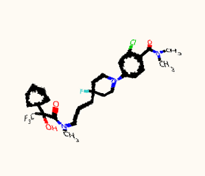 CN(C)C(=O)c1ccc(N2CCC(F)(CCCN(C)C(=O)C(O)(c3ccccc3)C(F)(F)F)CC2)cc1Cl